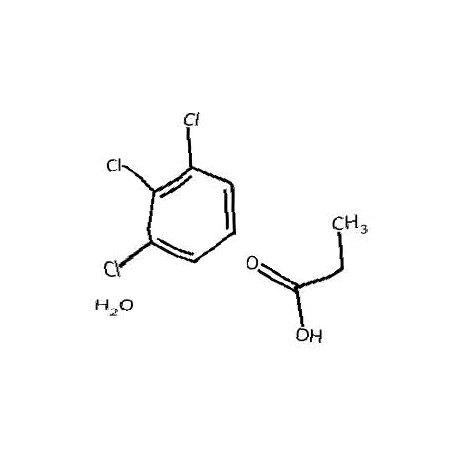 CCC(=O)O.Clc1cccc(Cl)c1Cl.O